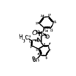 Cc1cc2c(Br)cccc2n1S(=O)(=O)c1ccccc1